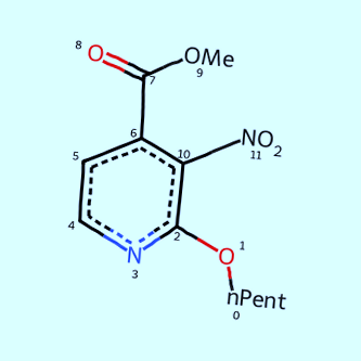 CCCCCOc1nccc(C(=O)OC)c1[N+](=O)[O-]